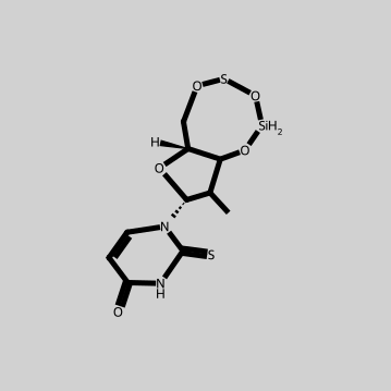 CC1C2O[SiH2]OSOC[C@H]2O[C@H]1n1ccc(=O)[nH]c1=S